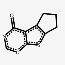 O=c1ncoc2sc3c(c12)CCC3